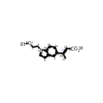 CCOCCn1ccc2cc(/C(C)=C/C(=O)O)ccc21